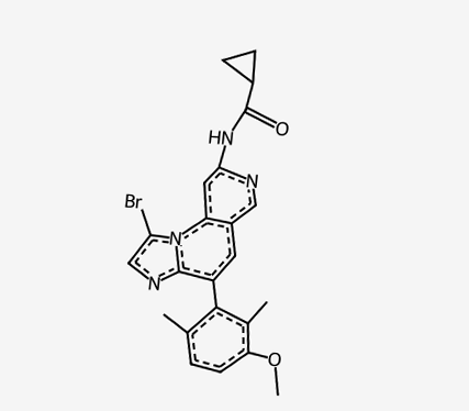 COc1ccc(C)c(-c2cc3cnc(NC(=O)C4CC4)cc3n3c(Br)cnc23)c1C